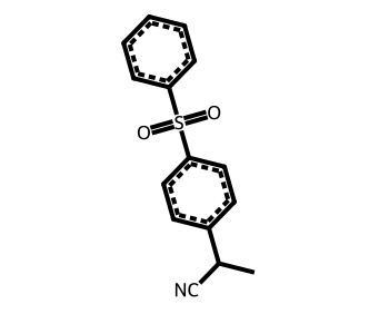 CC(C#N)c1ccc(S(=O)(=O)c2ccccc2)cc1